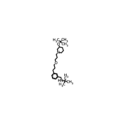 CC(C)(C)NCc1cccc(CCCOCCCN2CCCC(OC(C)(C)C)C2)c1